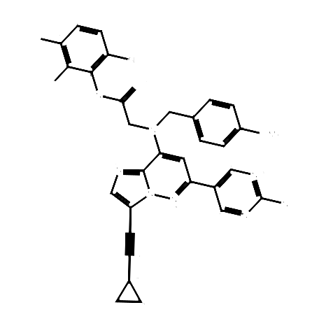 COc1ccc(CN(CC(=O)Nc2c(N)ccc(F)c2F)c2cc(-c3cnc(N)nc3)nn3c(C#CC4CC4)cnc23)cc1